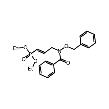 CCOP(=O)(/C=C/CN(OCc1ccccc1)C(=O)c1ccccc1)OCC